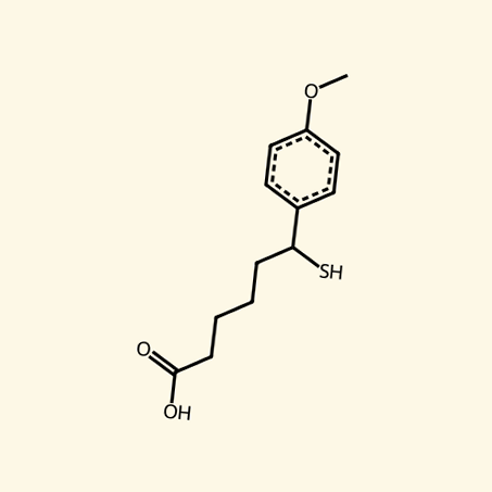 COc1ccc(C(S)CCCCC(=O)O)cc1